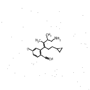 C#Cc1ccc(Cl)cc1/C(CCC1CC1)=C(\C)C(C)CN